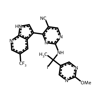 COc1ncc(C(C)(I)Nc2ncc(C#N)c(-c3c[nH]c4ncc(C(F)(F)F)cc34)n2)cn1